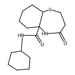 O=C1CCSC2CCCCC2(C(=O)NC2CCCCC2)N1